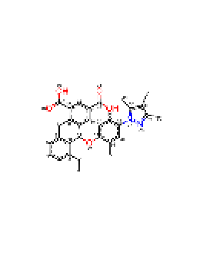 CCc1cccc(Cc2ccc(C(=O)O)cc2C(=O)O)c1COc1ccc(-n2nc(C)c(C)c2C)cc1C